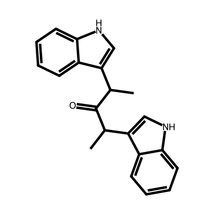 CC(C(=O)C(C)c1c[nH]c2ccccc12)c1c[nH]c2ccccc12